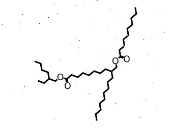 CCCCCCCCCC(=O)OCC(CCCCCCCCC)CCCCCCCC(=O)OCC(CC)CCCC